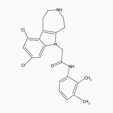 Cc1cccc(NC(=O)Cn2c3c(c4c(Cl)cc(Cl)cc42)CCNCC3)c1C